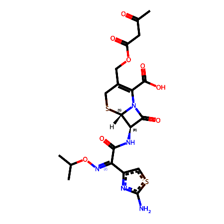 CC(=O)CC(=O)OCC1=C(C(=O)O)N2C(=O)[C@@H](NC(=O)/C(=N\OC(C)C)c3csc(N)n3)[C@@H]2SC1